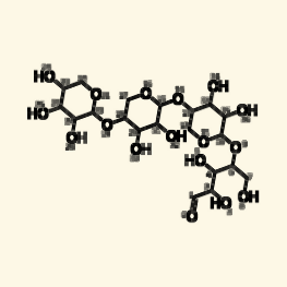 O=CC(O)C(O)C(CO)OC1OCC(OC2OCC(OC3OCC(O)C(O)C3O)C(O)C2O)C(O)C1O